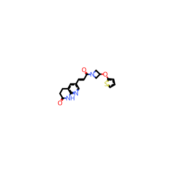 O=C1CCc2cc(/C=C/C(=O)N3CC(Oc4cccs4)C3)cnc2N1